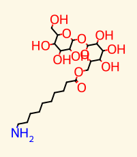 NCCCCCCCCCC(=O)OCC1OC(OC2OC(CO)C(O)C(O)C2O)C(O)C(O)C1O